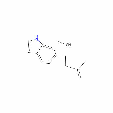 C=C(C)CCc1ccc2cc[nH]c2c1.CC#N